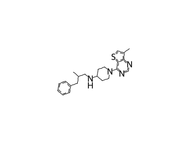 Cc1csc2c(N3CCC(NCC(C)Cc4ccccc4)CC3)ncnc12